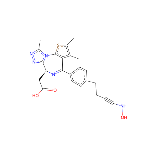 Cc1sc2c(c1C)C(c1ccc(CCC#CNO)cc1)=N[C@@H](CC(=O)O)c1nnc(C)n1-2